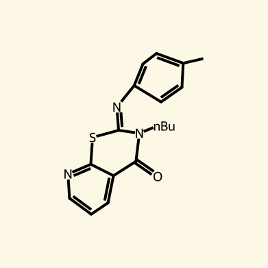 CCCCn1c(=Nc2ccc(C)cc2)sc2ncccc2c1=O